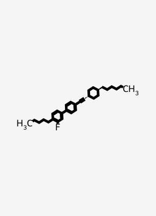 CCCCCC[C@H]1CC[C@H](C#Cc2ccc(-c3ccc(CCCCC)c(F)c3)cc2)CC1